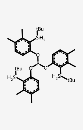 Cc1ccc(OP(Oc2ccc(C)c(C)c2[SiH2]C(C)(C)C)Oc2ccc(C)c(C)c2[SiH2]C(C)(C)C)c([SiH2]C(C)(C)C)c1C